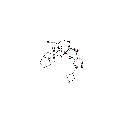 Cc1cnc(Nc2cnn(C3COC3)c2)nc1C1=CC2CCC(C1)N2C(=O)OC(C)(C)C